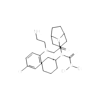 CCN(CC)C(=O)N(C1CCCCC1)C1CC2CCC(C1)N2C(=O)[C@H](C)N(CCN)c1ccc(Cl)cc1